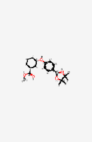 CC(C)OC(=O)[C@H]1CCC[C@H](Oc2ccc(B3OC(C)(C)C(C)(C)O3)cc2)C1